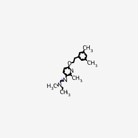 CCN(C)/C=N/c1ccc(OCCc2cc(C)cc(C)c2)nc1C